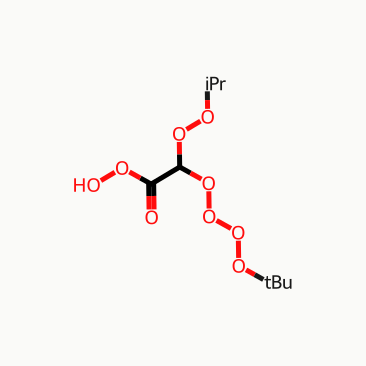 CC(C)OOC(OOOOC(C)(C)C)C(=O)OO